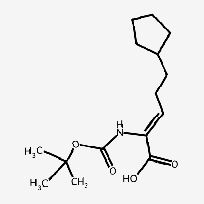 CC(C)(C)OC(=O)NC(=CCCC1CCCC1)C(=O)O